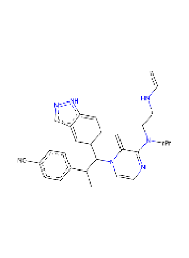 C=CNCCN(CCC)C1=NC=CN(C(C2C=c3cn[nH]c3=CC2)C(C)c2ccc(C#N)cc2)C1=C